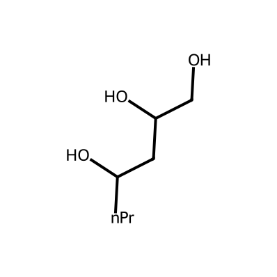 [CH2]CCC(O)CC(O)CO